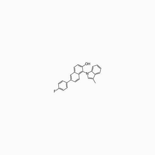 Cc1cn(-c2c(O)ccc3cc(-c4ccc(F)cc4)ccc23)c2ccccc12